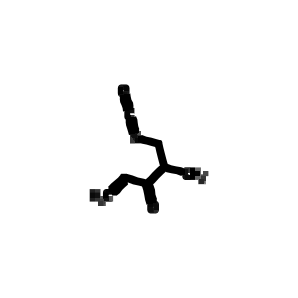 [CH2]C(CN=C=O)C(=O)C=C